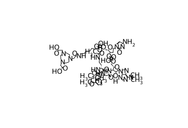 COc1ccc(C[C@H](NC(=O)[C@@H](CCCNC(C)=O)NC(=O)OC(C)(C)C)C(=O)NC2[C@@H](COP(=O)(O)O[C@@H]3C[C@H](n4ccc(N)nc4=O)O[C@@H]3COP(=O)(O)OCCCCCCNC(=O)CN3CCN(CC(=O)O)CCN(CC(=O)O)CC3)O[C@@H](n3cnc4c(N(C)C)ncnc43)[C@H]2O)cc1